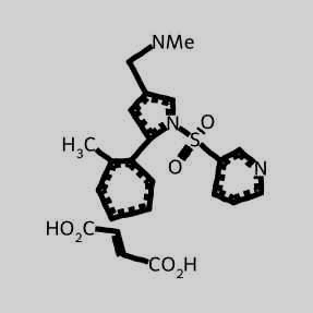 CNCc1cc(-c2ccccc2C)n(S(=O)(=O)c2cccnc2)c1.O=C(O)C=CC(=O)O